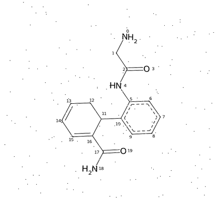 NCC(=O)Nc1ccccc1C1CC=[C]C=C1C(N)=O